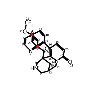 O=C(c1cnccn1)C12CNCC(Cn3c1c(-c1ccc(OC(F)(F)F)cc1)ccc3=O)C2